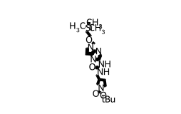 CC(C)(C)OC(=O)N1CCC(CNC(=O)Nc2cnc3c(ccn3COCC[Si](C)(C)C)n2)C1